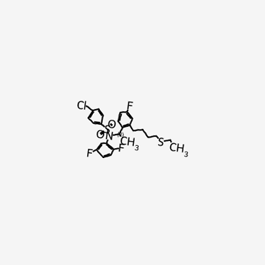 CCSCCCCc1cc(F)ccc1[C@@H](C)N(c1cc(F)ccc1F)S(=O)(=O)c1ccc(Cl)cc1